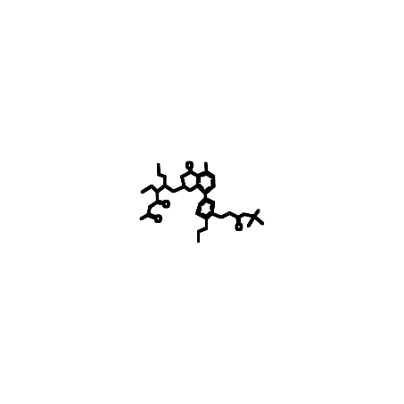 CCCc1ccc(-c2ccc(C)c3c2CC(CC(CCC)C(CC)C(=O)CC(C)=O)CC3=O)cc1CCC(=O)CC(C)(C)C